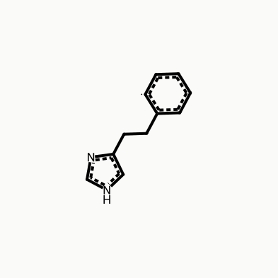 [c]1ccccc1CCc1c[nH]cn1